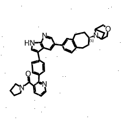 O=C(c1cccnc1-c1ccc(-c2c[nH]c3ncc(-c4ccc5c(c4)CC[C@@H](N4C6COCC4C6)CC5)cc23)cc1)N1CCCC1